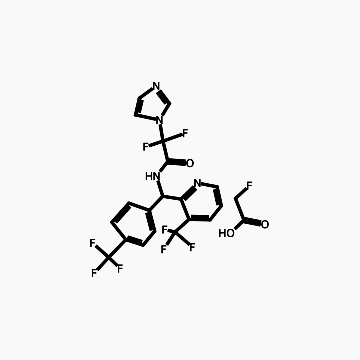 O=C(NC(c1ccc(C(F)(F)F)cc1)c1ncccc1C(F)(F)F)C(F)(F)n1ccnc1.O=C(O)CF